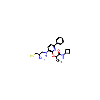 CC(Oc1nc(-c2ccccc2)ccc1NCC(N)CS)C(=O)NC1CCC1